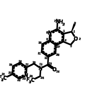 C[C@H]1OCc2c1c(N)nc1ccc(C(=O)N(Cc3ccc(C(F)(F)F)cn3)CC(F)(F)F)cc21